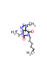 C=CCCCCn1c(=O)c2c(ncn2C)n(CC)c1=O